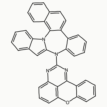 c1ccc2c(c1)Oc1cccc3nc(N4c5ccccc5-c5ccc6ccccc6c5-n5c4cc4ccccc45)nc-2c13